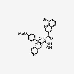 COc1ccc(S(=O)(=O)N(Cc2cccnc2)N(NO)OC(=O)c2cnc3c(Br)cccc3c2)cc1